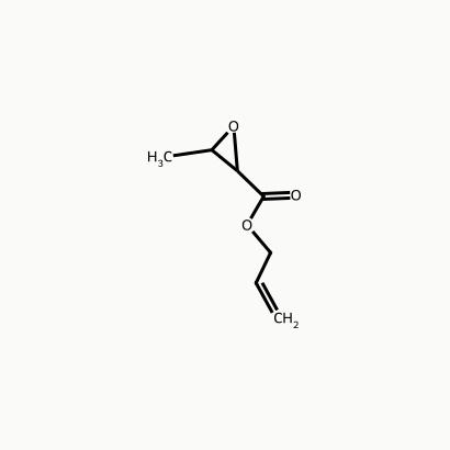 C=CCOC(=O)C1OC1C